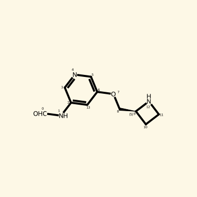 O=CNc1cncc(OC[C@@H]2CCN2)c1